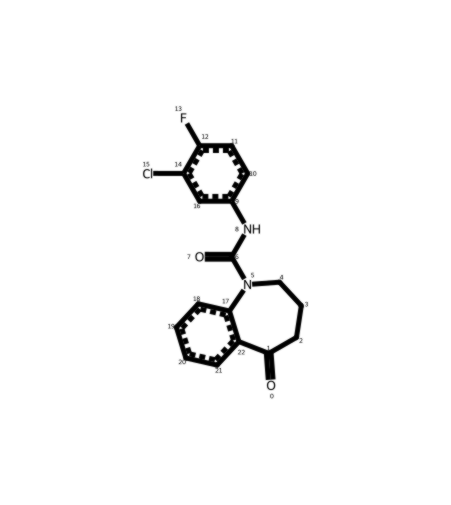 O=C1CCCN(C(=O)Nc2ccc(F)c(Cl)c2)c2ccccc21